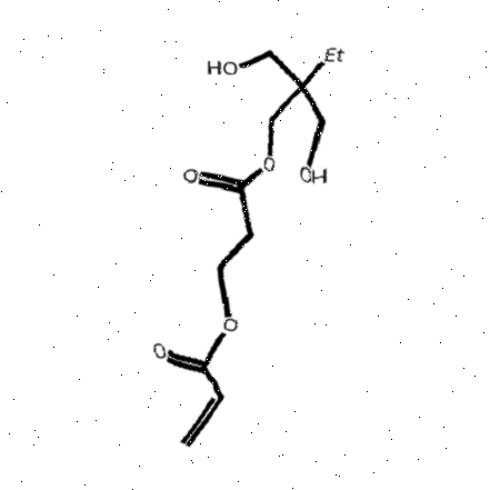 C=CC(=O)OCCC(=O)OCC(CC)(CO)CO